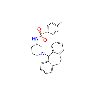 Cc1ccc(S(=O)(=O)NC2CCCN(C3c4ccccc4CCc4ccccc43)C2)cc1